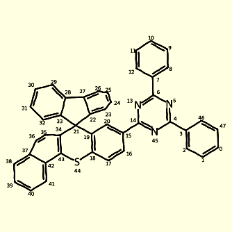 c1ccc(-c2nc(-c3ccccc3)nc(-c3ccc4c(c3)C3(c5ccccc5-c5ccccc53)c3ccc5ccccc5c3S4)n2)cc1